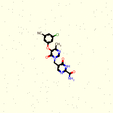 Cc1ncn(Cc2cnc(C(N)=O)[nH]c2=O)c(=O)c1Oc1cc(Cl)cc(C#N)c1